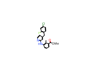 COC(=O)c1cccc(Nc2cc(Cc3ccc(Cl)cc3F)ccn2)c1C